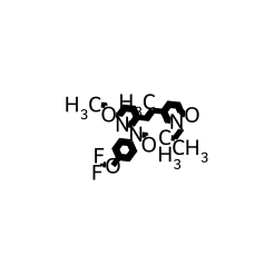 CCOc1ccc(/C=C(\C)c2ccc(=O)n(CC(C)C)c2)c(N(C=O)c2ccc(OC(F)F)cc2)n1